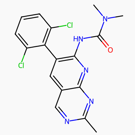 Cc1ncc2cc(-c3c(Cl)cccc3Cl)c(NC(=O)N(C)C)nc2n1